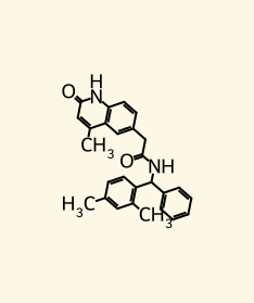 Cc1ccc(C(NC(=O)Cc2ccc3[nH]c(=O)cc(C)c3c2)c2ccccc2)c(C)c1